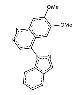 COc1cc2nncc(-n3ncc4ccccc43)c2cc1OC